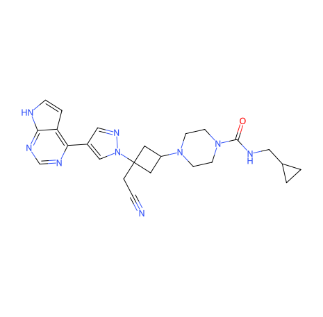 N#CCC1(n2cc(-c3ncnc4[nH]ccc34)cn2)CC(N2CCN(C(=O)NCC3CC3)CC2)C1